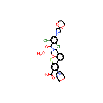 O.O=C(O)c1cc(F)c(-c2cccc3c2OCN(C(=O)c2c(Cl)cc(N4CC5(C4)OCCCO5)cc2Cl)C3)cc1N1C2CCC1COC2